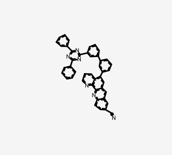 N#Cc1ccc2nc3c(cc(-c4cccc(-c5cccc(-c6nc(-c7ccccc7)nc(-c7ccccc7)n6)c5)c4)c4cccnc43)cc2c1